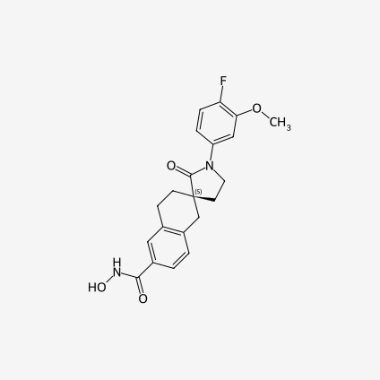 COc1cc(N2CC[C@@]3(CCc4cc(C(=O)NO)ccc4C3)C2=O)ccc1F